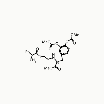 COC(=O)Oc1ccc(C[C@H](NCCOC(=O)C(C)C(C)C)C(=O)OC)cc1OC(=O)OC